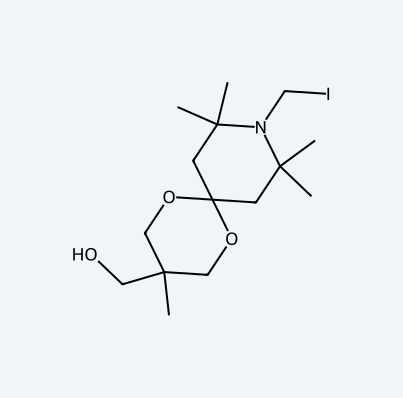 CC1(CO)COC2(CC(C)(C)N(CI)C(C)(C)C2)OC1